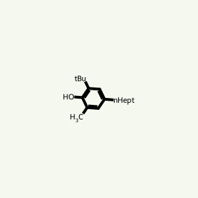 CCCCCCCc1cc(C)c(O)c(C(C)(C)C)c1